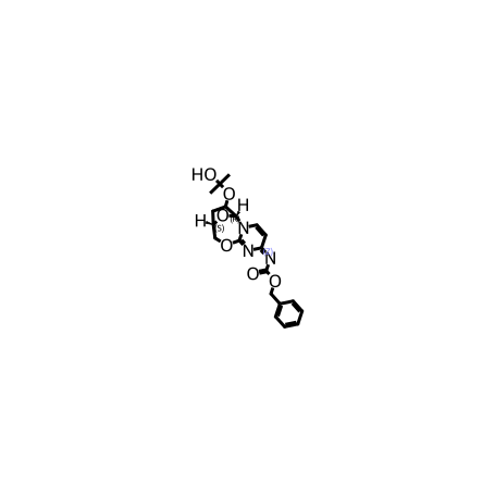 CC(C)(O)OC1C[C@H]2COc3n/c(=N\C(=O)OCc4ccccc4)ccn3[C@@H]1O2